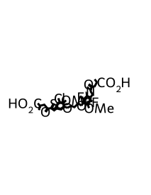 COc1c(F)c2c(c(F)c1OCCCOc1cc3cc(C(=O)CC(C)C(=O)O)sc3c(Cl)c1OC)CN(C(=O)CC(C)C(=O)O)C2